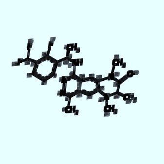 Cc1nnc(N[C@H](C)c2cccc(C(F)F)c2F)c2cc3c(cc12)N(C)C(C)C(=O)N3C